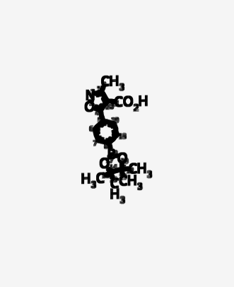 Cc1noc(-c2ccc(B3OC(C)(C)C(C)(C)O3)cc2)c1C(=O)O